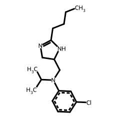 CCCCC1=NCC(CN(c2cccc(Cl)c2)C(C)C)N1